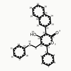 O=c1oc(-c2ccccc2)c(CSc2ccccc2)c(O)c1-c1ccc2ccccc2c1